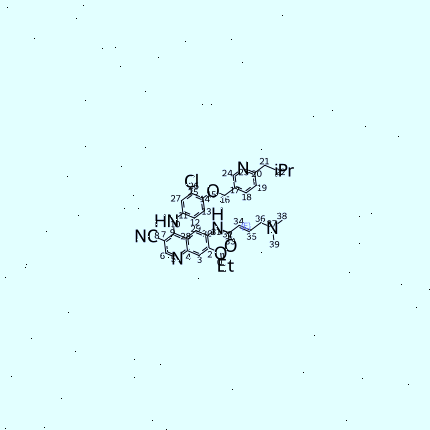 CCOc1cc2ncc(C#N)c(Nc3ccc(OCc4ccc(CC(C)C)nc4)c(Cl)c3)c2cc1NC(=O)/C=C/CN(C)C